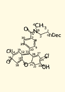 CCCCCCCCCCCCN(C)C(=O)c1ccc(-c2c3cc(Cl)c(=O)cc-3oc3cc(O)c(Cl)cc23)cc1